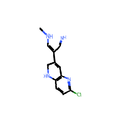 CN/C=C(\C=N)C1=Cc2nc(Cl)ccc2NC1